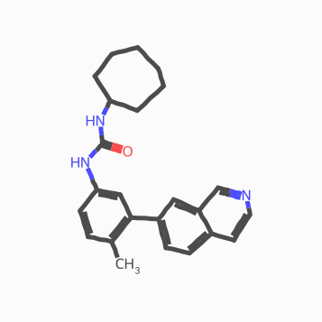 Cc1ccc(NC(=O)NC2CCCCCC2)cc1-c1ccc2ccncc2c1